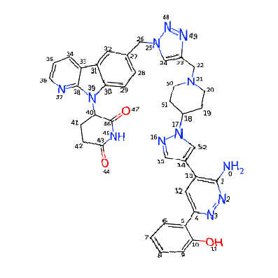 Nc1nnc(-c2ccccc2O)cc1-c1cnn(C2CCN(Cc3cn(Cc4ccc5c(c4)c4cccnc4n5C4CCC(=O)NC4=O)nn3)CC2)c1